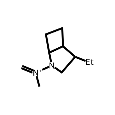 C=[N+](C)N1CC(CC)C2CCC21